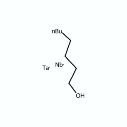 CCCCCCCCO.[Nb].[Ta]